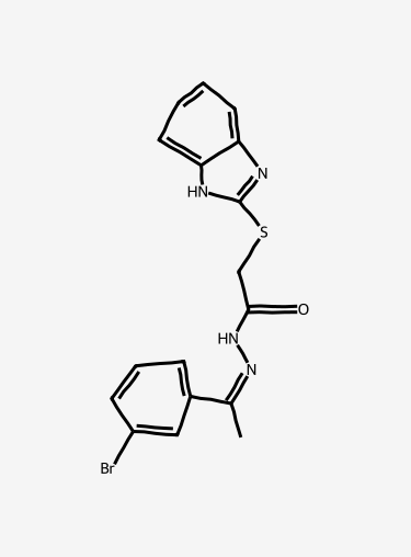 C/C(=N/NC(=O)CSc1nc2ccccc2[nH]1)c1cccc(Br)c1